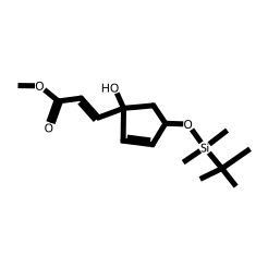 COC(=O)C=CC1(O)C=CC(O[Si](C)(C)C(C)(C)C)C1